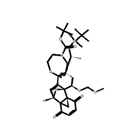 COCO[C@@H]1C[C@@]23CN(C(=O)OC(C)(C)C)CCO[C@@]2(CC=C3[C@@H](C)O[Si](C)(C)C(C)(C)C)C2=C[C@@H]3O[C@@]21[C@@]12CC31C(=O)C=CC2=O